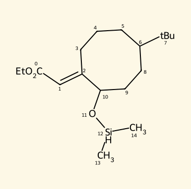 CCOC(=O)C=C1CCCC(C(C)(C)C)CCC1O[SiH](C)C